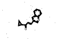 O=C(C=Cc1cnc2ccccc2c1)C1CC1